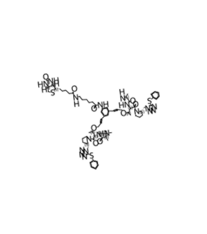 CN[C@@H](C)C(=O)N[C@H](C(=O)N1CCC[C@H]1Cn1nnnc1Sc1ccccc1)[C@@H](C)OCC#Cc1cc(C#CCO[C@H](C)[C@H](NC(=O)[C@H](C)NC)C(=O)N2CCC[C@H]2Cn2nnnc2Sc2ccccc2)cc(NC(=O)CCCCCNC(=O)CCCC[C@@H]2SC[C@@H]3NC(=O)N[C@@H]32)c1